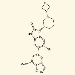 COc1cc(-c2cc3[nH]c(=O)n([C@@H]4CCCN(C5COC5)C4)c3cc2C(C)C)cn2ncnc12